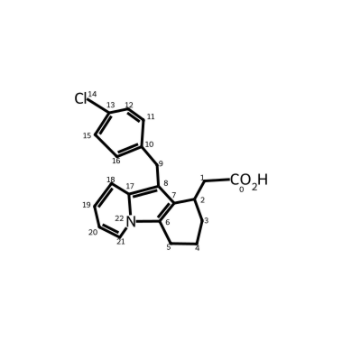 O=C(O)CC1CCCc2c1c(Cc1ccc(Cl)cc1)c1ccccn21